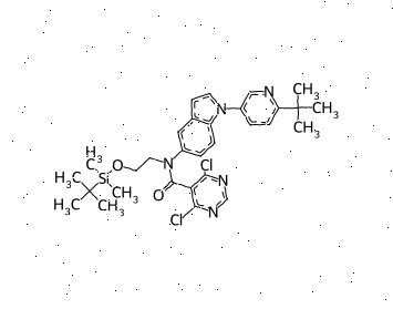 CC(C)(C)c1ccc(-n2ccc3cc(N(CCO[Si](C)(C)C(C)(C)C)C(=O)c4c(Cl)ncnc4Cl)ccc32)cn1